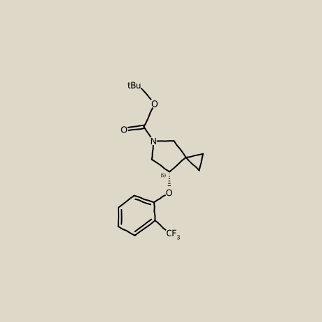 CC(C)(C)OC(=O)N1C[C@@H](Oc2ccccc2C(F)(F)F)C2(CC2)C1